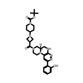 CC(C)(C)OC(=O)N1CCC(N2CC(C(=O)N3CCN4c5cc(-c6ccccc6O)nnc5NC[C@H]4C3)C2)CC1